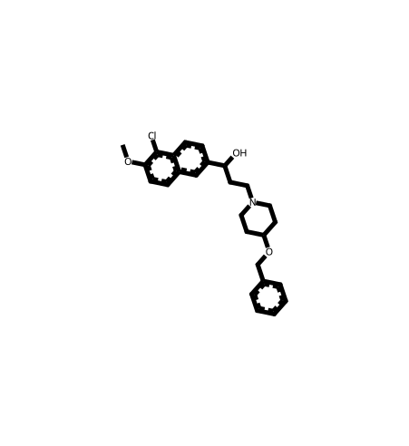 COc1ccc2cc(C(O)CCN3CCC(OCc4ccccc4)CC3)ccc2c1Cl